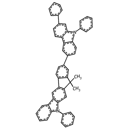 CC1(C)c2cc(-c3ccc4c(c3)c3ccc(-c5ccccc5)cc3n4-c3ccccc3)ccc2-c2cc3c4ccccc4n(-c4ccccc4)c3cc21